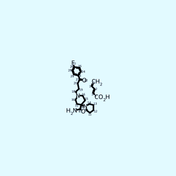 C=C/C=C/C(=O)O.NC(=O)C1(N2CCCCC2)CCN(CCCC(=O)c2ccc(F)cc2)CC1